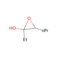 CCCC1OC1(O)CC